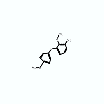 COc1ccc(Oc2cccc(C)c2OC)cc1